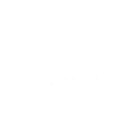 c1ccc(COc2cc(COc3cccc4ccccc34)nnc2OCc2ccccc2)cc1